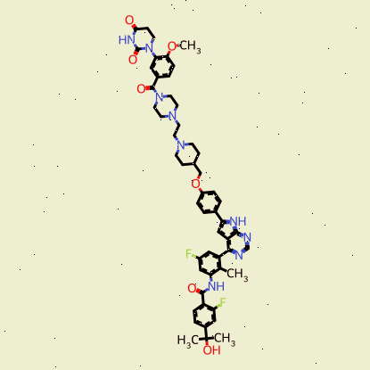 COc1ccc(C(=O)N2CCN(CCN3CCC(COc4ccc(-c5cc6c(-c7cc(F)cc(NC(=O)c8ccc(C(C)(C)O)cc8F)c7C)ncnc6[nH]5)cc4)CC3)CC2)cc1N1CCC(=O)NC1=O